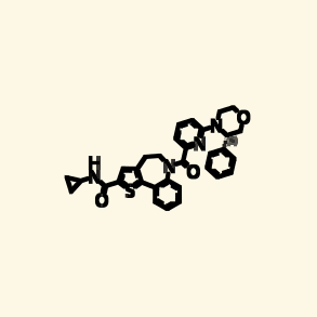 O=C(NC1CC1)c1cc2c(s1)-c1ccccc1N(C(=O)c1cccc(N3CCOC[C@@H]3c3ccccc3)n1)CC2